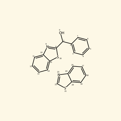 OC(c1ccccc1)c1nc2ccccc2s1.c1ccc2scnc2c1